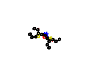 c1ccc(-c2cccc(-c3ccc4sc5c(-c6ccc(-c7nnc(-c8ccc(-c9cc(-c%10cccc(-c%11ccccc%11)c%10)cc%10c9sc9ccc(-c%11cccc(-c%12ccccc%12)c%11)cc9%10)cc8)o7)cc6)cc(-c6cccc(-c7ccccc7)c6)cc5c4c3)c2)cc1